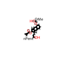 CCCCC[C@H](O)CC[C@@H]1[C@H]2Cc3cccc(OCC(O)OC)c3C[C@H]2C[C@H]1OC(=O)C1CC1